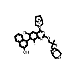 CC(F)(COc1nc(N2CC3CCC(C2)N3)c2cc(Cl)c(-c3cc(O)cc4ccccc34)c(F)c2n1)CN1C2CCC1COC2